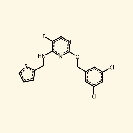 Fc1cnc(OCc2cc(Cl)cc(Cl)c2)nc1NCc1cccs1